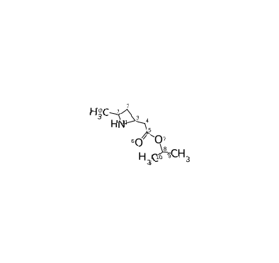 CC1CC(CC(=O)OC(C)C)N1